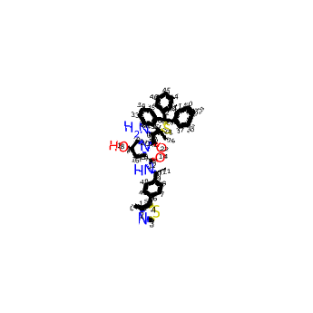 Cc1ncsc1-c1ccc([C@H](C)NC(=O)[C@@H]2C[C@@H](O)CN2C(=O)[C@@H](N)C(C)(C)SC(c2ccccc2)(c2ccccc2)c2ccccc2)cc1